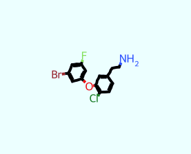 NCCc1ccc(Cl)c(Oc2cc(F)cc(Br)c2)c1